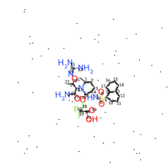 Cc1ccc(NS(=O)(=O)c2cccc3ccccc23)c(=O)n1C(C(N)=O)C(C)ON=C(N)N.O=C(O)C(F)(F)F